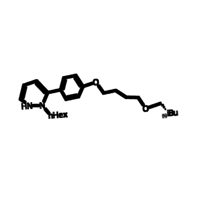 CCCCCCN1NC=CC=C1c1ccc(OCCCCOC[C@@H](C)CC)cc1